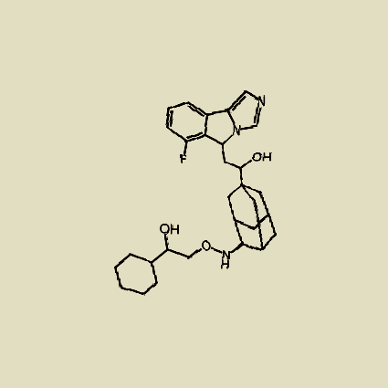 OC(CONC1C2CC3CC1CC(C(O)CC1c4c(F)cccc4-c4cncn41)(C3)C2)C1CCCCC1